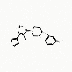 Cc1c(-c2ccoc2)ncnc1N1CCC(Oc2cccc(C#N)c2)CC1